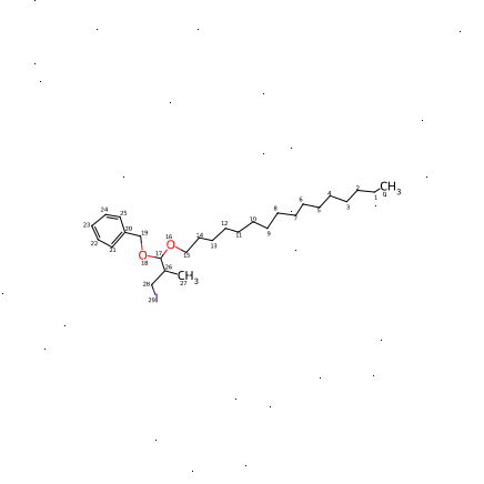 CCCCCCCCCCCCCCCCOC(OCc1ccccc1)C(C)CI